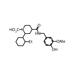 CCC1CCCCC1C1CC(C(=O)NCc2ccc(O)c(OC)c2)CCN1C(=O)O